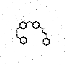 C(=Nc1ccccc1)=Nc1ccc(Cc2ccc(NC=Nc3ccccc3)cc2)cc1